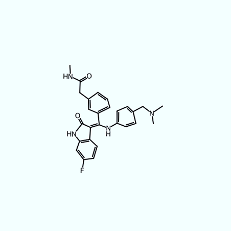 CNC(=O)Cc1cccc(C(Nc2ccc(CN(C)C)cc2)=C2C(=O)Nc3cc(F)ccc32)c1